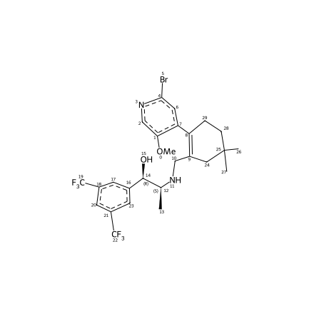 COc1cnc(Br)cc1C1=C(CN[C@@H](C)[C@H](O)c2cc(C(F)(F)F)cc(C(F)(F)F)c2)CC(C)(C)CC1